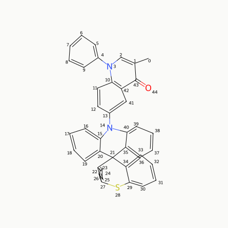 Cc1cn(-c2ccccc2)c2ccc(N3c4ccccc4C4(c5ccccc5Sc5ccccc54)c4ccccc43)cc2c1=O